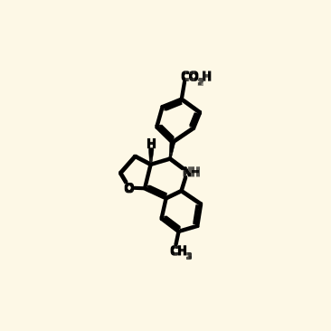 CC1=CC2=C3OCC[C@@H]3[C@@H](c3ccc(C(=O)O)cc3)NC2C=C1